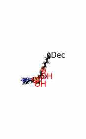 CCCCCCCCCCCCCCCCOCC(O)COP(O)OCCC[N+](C)(C)C